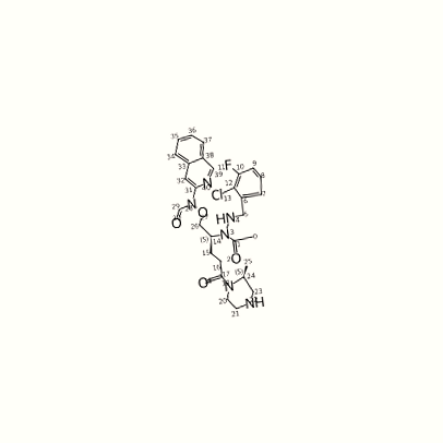 CC(=O)N(NCc1cccc(F)c1Cl)[C@@H](CCC(=O)N1CCNC[C@@H]1C)CON(C=O)c1cc2ccccc2cn1